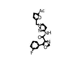 CC(=O)c1ccc(Cn2ccc(NC(=O)c3ncoc3-c3cccc(F)c3)n2)o1